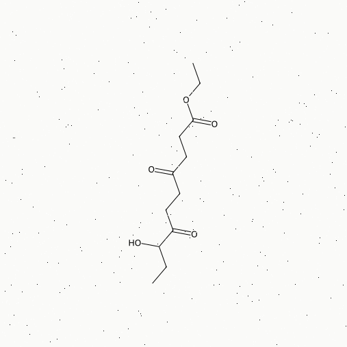 CCOC(=O)CCC(=O)CCC(=O)C(O)CC